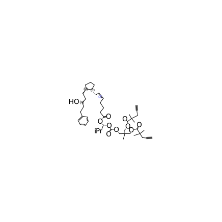 C#CCC(C)(C)C(=O)OCC(C)(COC(=O)OC(OC(=O)CCC/C=C\C[C@H]1CCC[C@@H]1CC[C@@H](O)CCc1ccccc1)C(C)C)COC(=O)C(C)(C)CC#C